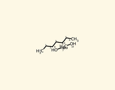 CCCCCCC.CCCCO.CO